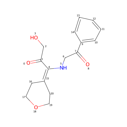 O=C(CO)C(NCC(=O)c1ccccc1)=C1CCOCC1